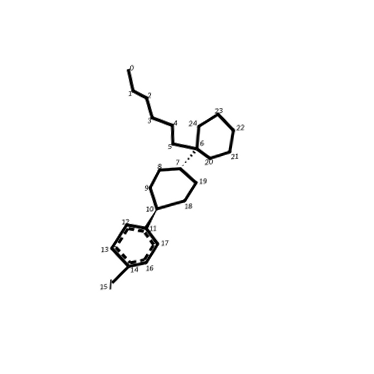 CCCCCCC1([C@H]2CC[C@H](c3ccc(I)cc3)CC2)CCCCC1